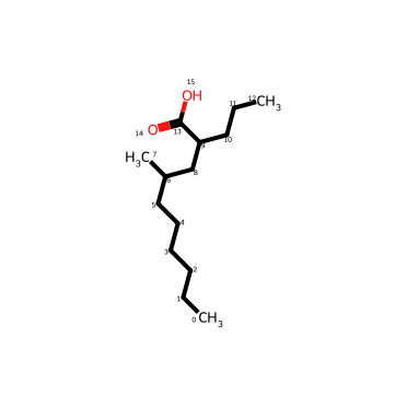 CCCCCCC(C)CC(CCC)C(=O)O